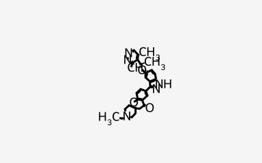 CCN1CCC2(CC1)CC(=O)c1cc(-c3n[nH]c4ccc(O[C@H](C)c5c(C)cnnc5C)cc34)ccc1O2